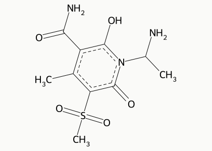 Cc1c(C(N)=O)c(O)n(C(C)N)c(=O)c1S(C)(=O)=O